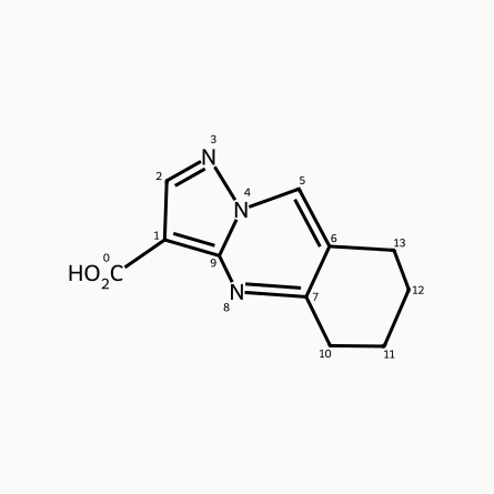 O=C(O)c1cnn2cc3c(nc12)CCCC3